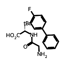 CC(C)(C)[C@H](NC(=O)CN)C(=O)O.Fc1ccc(-c2ccccc2)cc1